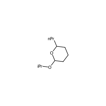 CCCC1CCCC(OC(C)C)O1